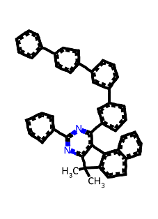 CC1(C)c2ccc3ccccc3c2-c2c(-c3cccc(-c4cccc(-c5ccc(-c6ccccc6)cc5)c4)c3)nc(-c3ccccc3)nc21